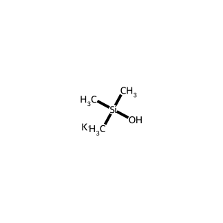 C[Si](C)(C)O.[K]